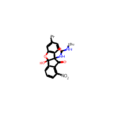 CC(C)c1ccc2c(c1)OC1(O)c3cccc([N+](=O)[O-])c3C(=O)C21NC(=O)NC(C)(C)C